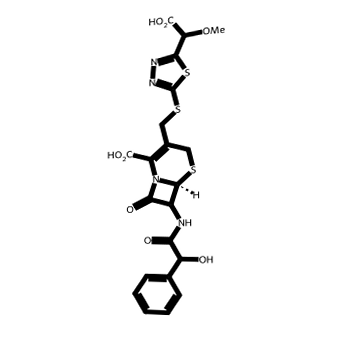 COC(C(=O)O)c1nnc(SCC2=C(C(=O)O)N3C(=O)C(NC(=O)C(O)c4ccccc4)[C@@H]3SC2)s1